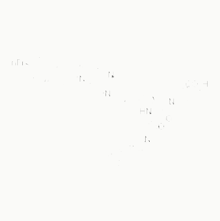 CCC[C@H]1CC[C@H](C2CCN(c3cnc(-c4ccc(C[C@H](NC(=O)c5ccc(C6CC6)cn5)C(=O)N5CC(C(=O)O)C5)cc4)nc3)CC2)CC1